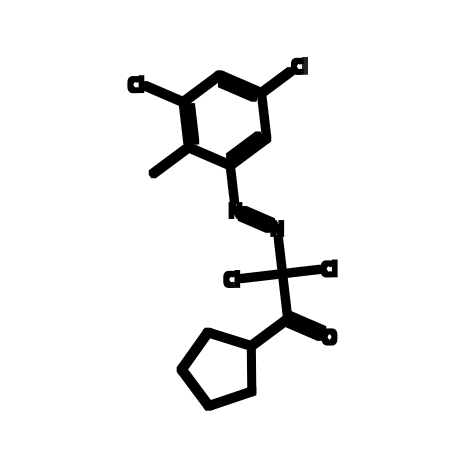 Cc1c(Cl)cc(Cl)cc1N=NC(Cl)(Cl)C(=O)C1CCCC1